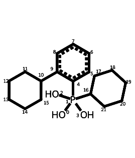 OP(O)(O)(c1ccccc1C1CCCCC1)C1CCCCC1